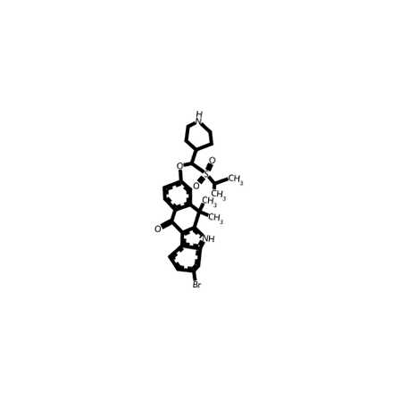 CC(C)S(=O)(=O)C(Oc1ccc2c(c1)C(C)(C)c1[nH]c3cc(Br)ccc3c1C2=O)C1CCNCC1